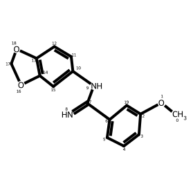 COc1cccc(C(=N)Nc2ccc3c(c2)OCO3)c1